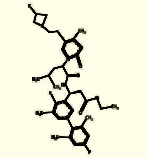 CCOC(=O)C[C@H](NC(=O)C(CC(C)C)n1cc(CCN2CC(F)C2)c(C)cc1=O)c1cc(-c2c(C)cc(F)cc2C)cc(C)c1F